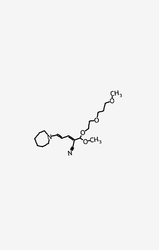 COCCCOCCOC(OC)/C(C#N)=C/C=C/N1CCCCCC1